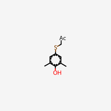 CC(=O)CSc1cc(C)c(O)c(C)c1